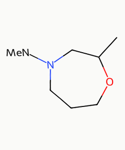 CNN1CCCOC(C)C1